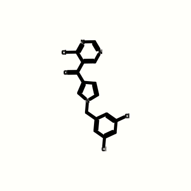 O=C(c1ccn(Cc2cc(Cl)cc(Cl)c2)c1)c1cncnc1Cl